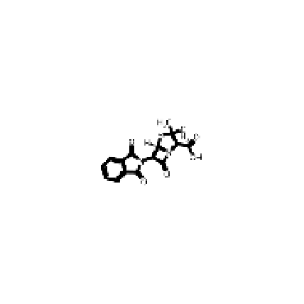 CC1(C)S[C@H]2C(N3C(=O)c4ccccc4C3=O)C(=O)N2C1C(=O)O